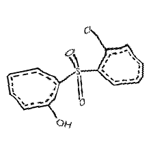 O=S(=O)(c1ccccc1O)c1ccccc1Cl